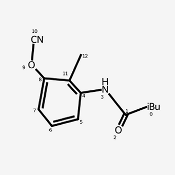 CCC(C)C(=O)Nc1cccc(OC#N)c1C